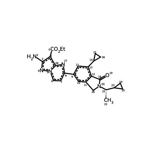 CCOC(=O)c1c(N)nn2ccc(-c3cc4c(c(C5CC5)c3)C(=O)N([C@@H](C)C3CC3)C4)nc12